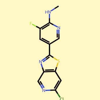 CNc1ncc(-c2nc3cnc(Cl)cc3s2)cc1F